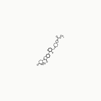 COC(=O)N1CC2(CCN(Cc3ccnc(-c4ccc5c(c4)CN(C4CCC(=O)NC4=O)C5=O)c3F)CC2)C1